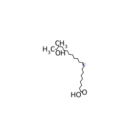 CC(O)C(C)CCCCCCCC/C=C\CCCCCCCC(=O)O